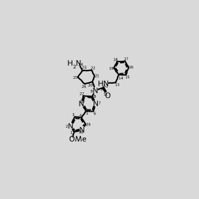 COc1ncc(-c2cnc(N(C(=O)NCc3ccccc3)C3CCC(N)CC3)cn2)cn1